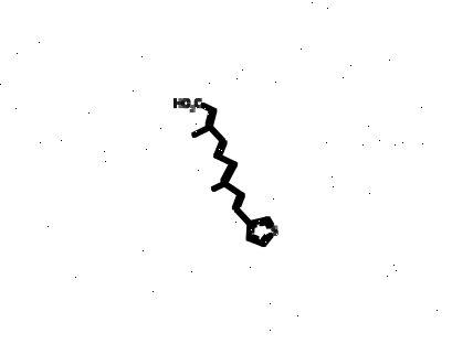 CC(/C=C/c1ccsc1)=C\C=C\C(C)=C\C(=O)O